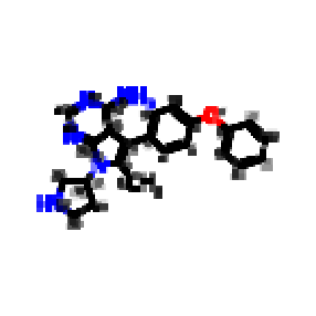 Cc1c(-c2ccc(Oc3ccccc3)cc2)c2c(N)ncnc2n1[C@@H]1CCNC1